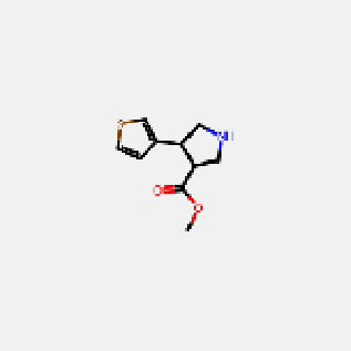 COC(=O)C1CNCC1c1ccsc1